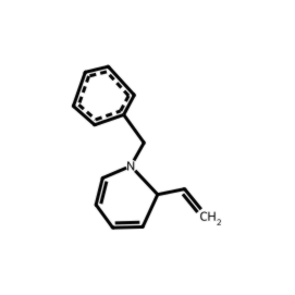 C=CC1C=CC=CN1Cc1ccccc1